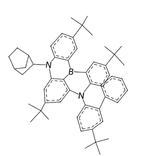 CC(C)(C)c1ccc2c(c1)B1c3cc(C(C)(C)C)ccc3N(C3CC4CCC3C4)c3cc(C(C)(C)C)cc(c31)N2c1ccc(C(C)(C)C)cc1-c1ccccc1